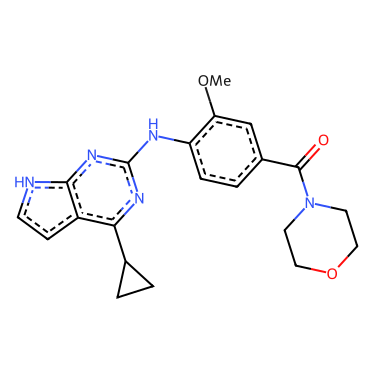 COc1cc(C(=O)N2CCOCC2)ccc1Nc1nc(C2CC2)c2cc[nH]c2n1